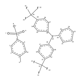 Cc1ccc(S(=O)(=O)[O-])cc1.FC(F)(F)c1ccc([S+](c2ccccc2)c2ccc(C(F)(F)F)cc2)cc1